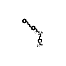 CCC(=O)N1CCC(CCC(=O)ONC(=O)Cc2ccc(CCCCc3ccccc3)cc2)CC1